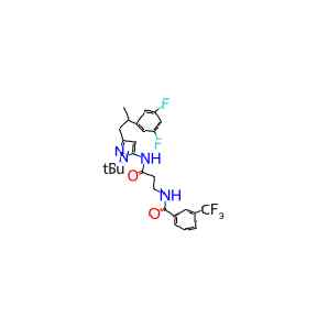 CC(Cc1cc(NC(=O)CCNC(=O)c2cccc(C(F)(F)F)c2)n(C(C)(C)C)n1)c1cc(F)cc(F)c1